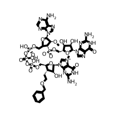 CO[C@H]1[C@H](n2cnc3c(N)ncnc32)OC(COP(=O)(O)OP(=O)(O)OP(=O)(O)OC[C@H]2O[C@@H](n3c[n+](C)c4c(=O)[nH]c(N)nc43)[C@H](O)[C@@H]2CCOCc2ccccc2)[C@H]1P(=O)([O-])OC[C@H]1O[C@@H](n2cnc3c(=O)[nH]c(N)nc32)[C@H](O)[C@@H]1O